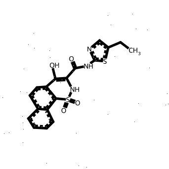 CCc1cnc(NC(=O)C2=C(O)c3ccc4ccccc4c3S(=O)(=O)N2)s1